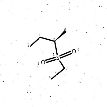 [CH2]C[C@@H](C)S(=O)(=O)CC